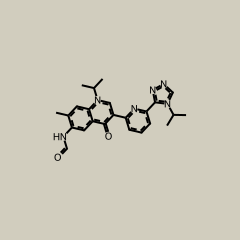 Cc1cc2c(cc1NC=O)c(=O)c(-c1cccc(-c3nncn3C(C)C)n1)cn2C(C)C